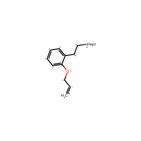 C=CCOc1ccccc1CCCCCCCCC